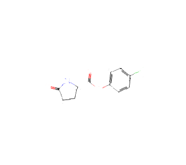 O=C1CC[C@@H](C(=O)Oc2ccc(Cl)cc2)N1